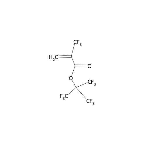 C=C(C(=O)OC(C(F)(F)F)(C(F)(F)F)C(F)(F)F)C(F)(F)F